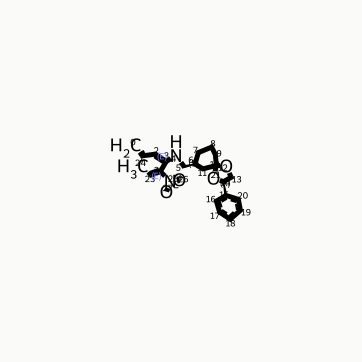 C=C/C=C(NC[C@H]1CCCC2(C1)OC[C@@H](c1ccccc1)O2)\C(=C/C)[N+](=O)[O-]